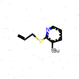 C=CCSc1ncccc1C(C)(C)C